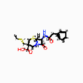 CCSCC1(C(=O)O)CS[C@@H]2C(NC(=O)Cc3ccccc3)C(=O)N2C1